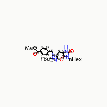 CCCCCCN1C(=O)NC(=Cc2cnc(CCCC)n2Cc2ccc(C(=O)OC)cc2)C1=O